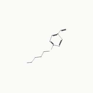 C=[C]c1ccc(OCCCCC)cc1